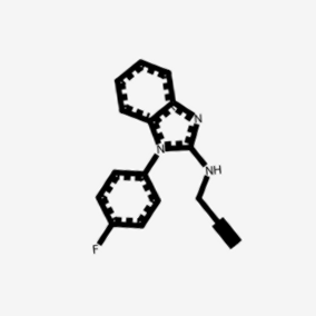 C#CCNc1nc2ccccc2n1-c1ccc(F)cc1